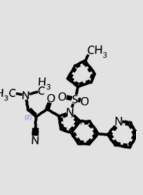 Cc1ccc(S(=O)(=O)n2c(C(=O)/C(C#N)=C\N(C)C)cc3ccc(-c4ccccn4)cc32)cc1